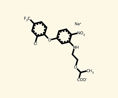 CC(OCCNc1cc(Oc2ccc(C(F)(F)F)cc2Cl)ccc1[N+](=O)[O-])C(=O)[O-].[Na+]